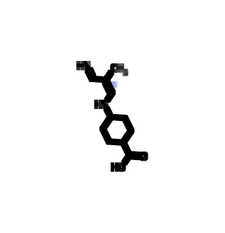 C/C(C=N)=C/NC1CCC(C(=O)O)CC1